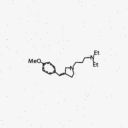 CCN(CC)CCCN1CC/C(=C/c2ccc(OC)cc2)C1